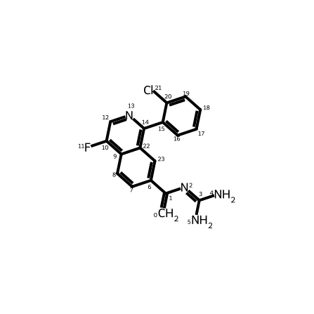 C=C(N=C(N)N)c1ccc2c(F)cnc(-c3ccccc3Cl)c2c1